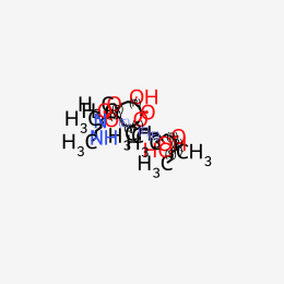 CC[C@H](O)[C@@H](C)[C@H]1O[C@@H]1CC(C)(O)/C=C/C=C(\C)[C@H]1OC(=O)C[C@H](O)CC[C@@](C)(OC)[C@@H](OC(=O)N(C)CCNC)/C=C/[C@@H]1C